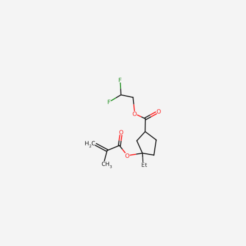 C=C(C)C(=O)OC1(CC)CCC(C(=O)OCC(F)F)C1